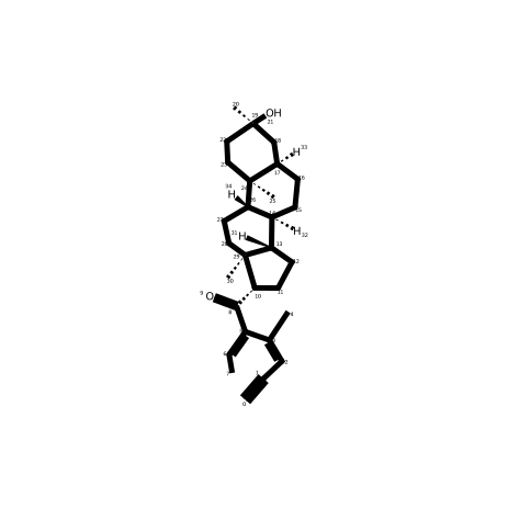 C#C/C=C(C)\C(=C/C)C(=O)[C@H]1CC[C@H]2[C@@H]3CC[C@@H]4C[C@](C)(O)CC[C@]4(C)[C@H]3CC[C@]12C